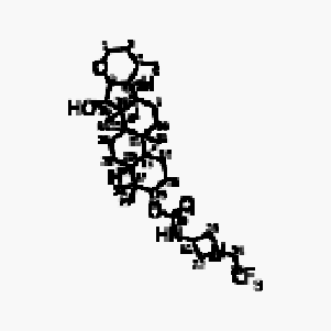 C[C@@H]1CCOC2[C@H]1[C@@]1(C)CCC34C[C@@]35CC[C@H](OC(=O)NC3CN(CC(F)(F)F)C3)C(C)(C)[C@@H]5CCC4[C@]1(C)[C@H]2O